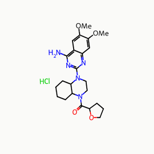 COc1cc2nc(N3CCN(C(=O)C4CCCO4)C4CCCCC43)nc(N)c2cc1OC.Cl